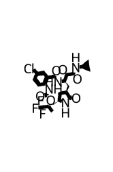 CC(OC(=O)Nc1ccc(Cl)cc1C(=O)N[C@@H](C[C@@H]1C[C@@H](C)NC1=O)C(=O)C(=O)NC1CC1)C(F)(F)F